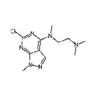 CN(C)CCN(C)c1nc(Cl)nc2c1cnn2C